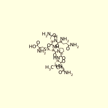 CC(C)C[C@H](NC(=O)[C@@H]1CCCN1C(=O)[C@H](CSSC[C@H](N)C(=O)O)NC(=O)[C@H](CC(N)=O)NC(=O)[C@@H](N)CCC(N)=O)C(=O)NCC(N)=O